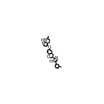 C=C1CCc2c(Oc3ccc4c(c3)CC(c3ncc(-c5cccc(C)c5)[nH]3)CO4)ccnc2N1